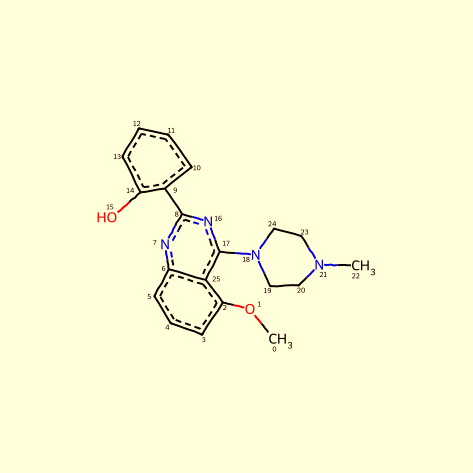 COc1cccc2nc(-c3ccccc3O)nc(N3CCN(C)CC3)c12